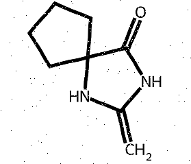 C=C1NC(=O)C2(CCCC2)N1